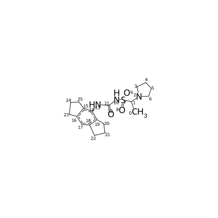 CC(N1CCCC1)S(=O)(=O)NC(=O)Nc1c2c(cc3c1CCC3)CCC2